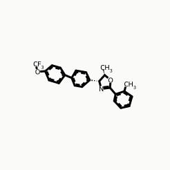 Cc1ccccc1C1=N[C@H](c2ccc(-c3ccc(OC(F)(F)F)cc3)cc2)[C@H](C)O1